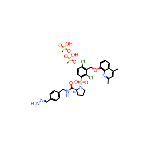 CS(=O)(=O)O.CS(=O)(=O)O.Cc1cc(C)c2cccc(OCc3c(Cl)ccc(S(=O)(=O)N4CCC[C@H]4C(=O)NCc4ccc(C=NN)cc4)c3Cl)c2n1